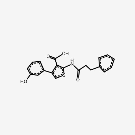 O=C(CCc1ccccc1)Nc1scc(-c2cccc(O)c2)c1C(=O)O